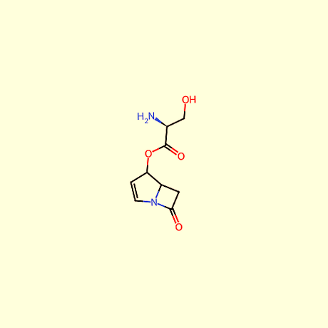 N[C@@H](CO)C(=O)OC1C=CN2C(=O)CC12